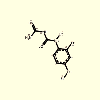 CCOc1ccc(N(CC)C(=O)NC(=N)N)c(CC)c1